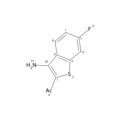 CC(=O)c1sc2cc(F)ccc2c1N